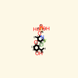 Cc1c(OCP(=O)(O)O)nc(F)c(Cl)c1Oc1ccc(O)c(C(C)C)c1